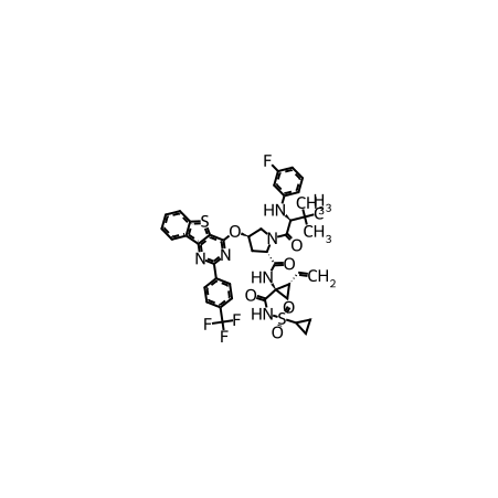 C=C[C@@H]1C[C@]1(NC(=O)[C@@H]1C[C@@H](Oc2nc(-c3ccc(C(F)(F)F)cc3)nc3c2sc2ccccc23)CN1C(=O)[C@@H](Nc1cccc(F)c1)C(C)(C)C)C(=O)NS(=O)(=O)C1CC1